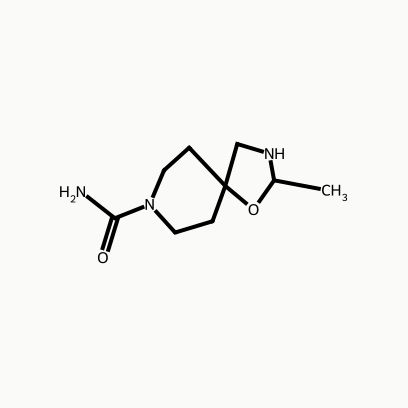 CC1NCC2(CCN(C(N)=O)CC2)O1